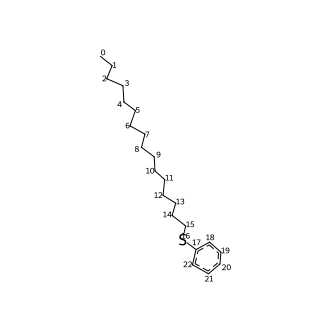 CCCCCCCCCCCCCCCCSc1ccccc1